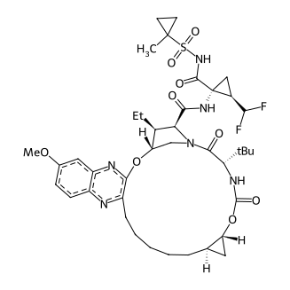 CC[C@@H]1[C@@H]2CN(C(=O)[C@H](C(C)(C)C)NC(=O)O[C@@H]3C[C@H]3CCCCCc3nc4ccc(OC)cc4nc3O2)[C@@H]1C(=O)N[C@]1(C(=O)NS(=O)(=O)C2(C)CC2)C[C@H]1C(F)F